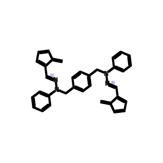 C=C1C=CC=C1/C=N/N(Cc1ccc(CN(/N=C/C2=CC=CC2=C)c2ccccc2)cc1)c1ccccc1